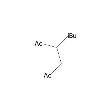 CCC(C)C(CC(C)=O)C(C)=O